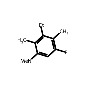 CCc1c(C)c(F)cc(NC)c1C